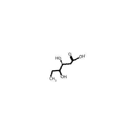 CCC(O)[C@@H](O)CC(=O)O